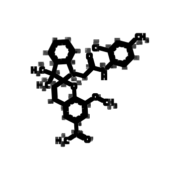 COc1cc([N+](C)=O)cc2c1OC1(C=C2)N(CC(=O)Nc2ccc(C)cc2Cl)c2ccccc2C1(C)C